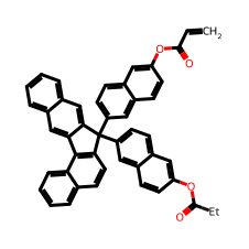 C=CC(=O)Oc1ccc2cc(C3(c4ccc5cc(OC(=O)CC)ccc5c4)c4cc5ccccc5cc4-c4c3ccc3ccccc43)ccc2c1